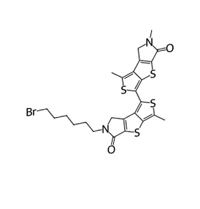 Cc1sc(-c2sc(C)c3c4c(sc23)C(=O)N(C)C4)c2c3c(sc12)C(=O)N(CCCCCCBr)C3